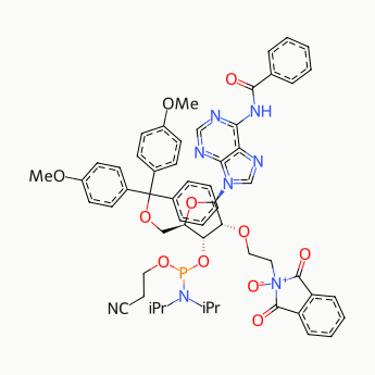 COc1ccc(C(OC[C@H]2O[C@@H](n3cnc4c(NC(=O)c5ccccc5)ncnc43)[C@H](OCC[N+]3([O-])C(=O)c4ccccc4C3=O)[C@@H]2OP(OCCC#N)N(C(C)C)C(C)C)(c2ccccc2)c2ccc(OC)cc2)cc1